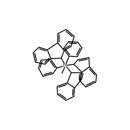 [CH3][Zr]([c]1ccccc1)([c]1ccccc1)([CH]1C=Cc2ccccc21)([CH]1C=Cc2ccccc21)[CH]1c2ccccc2-c2ccccc21